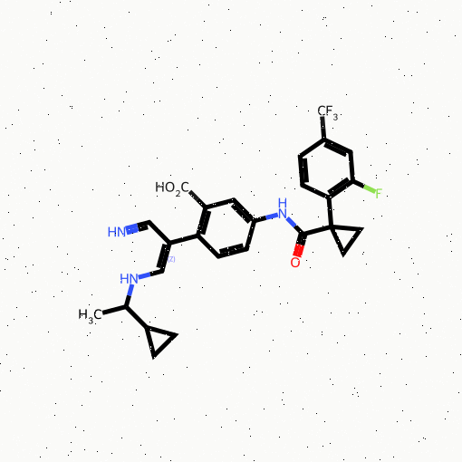 CC(N/C=C(\C=N)c1ccc(NC(=O)C2(c3ccc(C(F)(F)F)cc3F)CC2)cc1C(=O)O)C1CC1